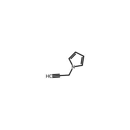 C#CCn1cccc1